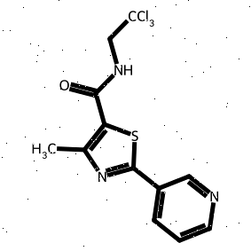 Cc1nc(-c2cccnc2)sc1C(=O)NCC(Cl)(Cl)Cl